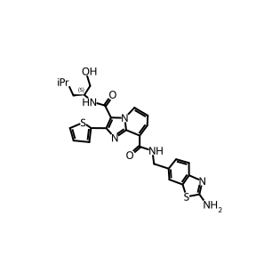 CC(C)C[C@@H](CO)NC(=O)c1c(-c2cccs2)nc2c(C(=O)NCc3ccc4nc(N)sc4c3)cccn12